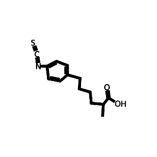 CC(CCCCc1ccc(N=C=S)cc1)C(=O)O